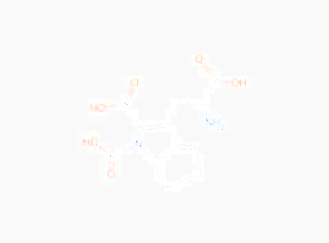 NC(Cc1c(C(=O)O)n(C(=O)O)c2ccccc12)C(=O)O